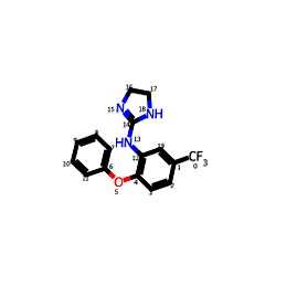 FC(F)(F)c1ccc(Oc2ccccc2)c(NC2=NCCN2)c1